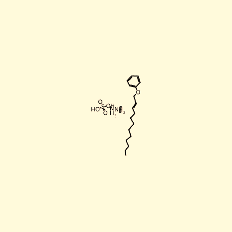 C=C.CCCCCCCCCC=CCOc1ccccc1.N.N.O=S(=O)(O)O